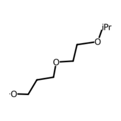 CC(C)OCCOCCC[O]